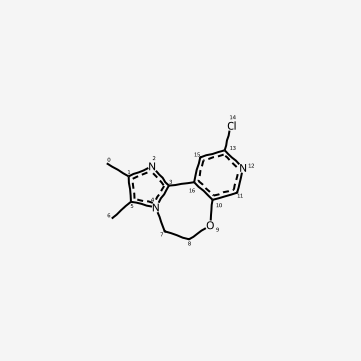 Cc1nc2n(c1C)CCOc1cnc(Cl)cc1-2